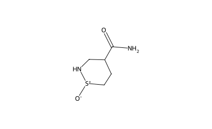 NC(=O)C1CC[S+]([O-])NC1